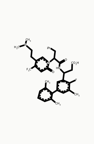 Cc1cc(-c2c(C)cccc2C)cc(C(CC(=O)O)NC(=O)C(CC(C)C)n2cc(CCN(C)C)c(C(F)(F)F)cc2=O)c1F